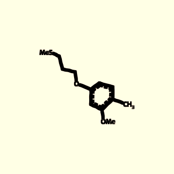 COc1cc(OCCCSC)ccc1C